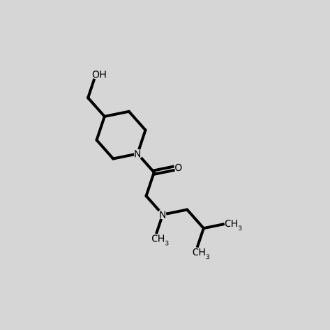 CC(C)CN(C)CC(=O)N1CCC(CO)CC1